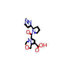 Cn1ccc(C2CCCN2C(=O)c2cc(C(=O)O)c3n2CCOC3)n1